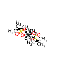 CC(C)(C)S(=O)(=O)O[Si](C)(C)[Si](C)(C)OS(=O)(=O)C(C)(C)C